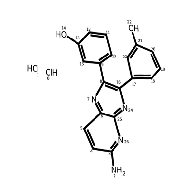 Cl.Cl.Nc1ccc2nc(-c3cccc(O)c3)c(-c3cccc(O)c3)nc2n1